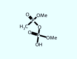 COP(C)(=O)OP(=O)(O)OC